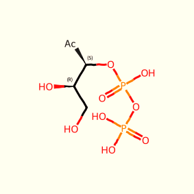 CC(=O)[C@@H](OP(=O)(O)OP(=O)(O)O)[C@H](O)CO